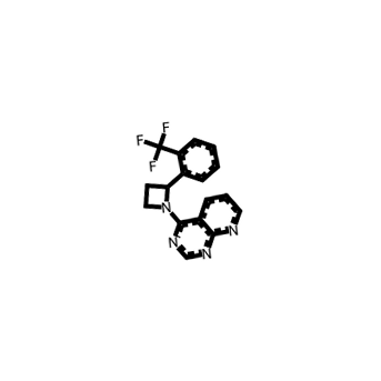 FC(F)(F)c1ccccc1C1CCN1c1ncnc2ncccc12